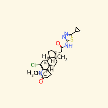 CN1C(=O)CC[C@@]2(C)C1=C(Cl)C[C@H]1[C@@H]3CC[C@H](CC(=O)Nc4nnc(C5CC5)s4)[C@@]3(C)CC[C@@H]12